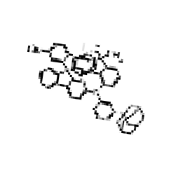 CC(C)(C)c1ccc2c(c1)C1(c3ccccc3-c3ccc(N(c4cccc(C56CC7CC(CC(C7)C5)C6)c4)c4cccc5c4-c4ccccc4C5(C)C)cc31)c1ccccc1-2